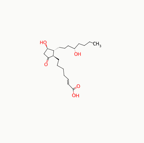 CCCC[C@H](O)CCC[C@H]1[C@H](O)CC(=O)[C@@H]1CCCCC=CC(=O)O